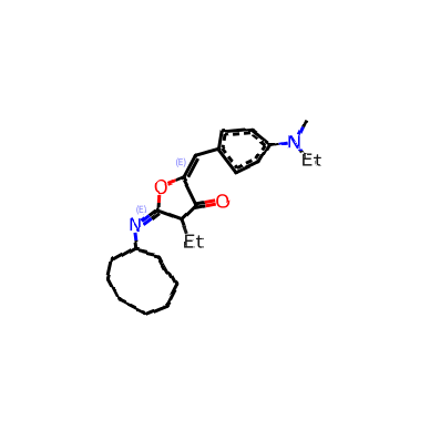 CCC1C(=O)/C(=C\c2ccc(N(C)CC)cc2)O/C1=N/C1CCCCCCC1